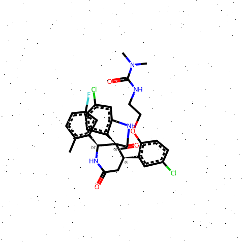 Cc1ccc(F)cc1[C@@H]1NC(=O)C[C@H](c2cc(Cl)ccc2OCCNC(=O)N(C)C)[C@@]12C(=O)Nc1cc(Cl)ccc12